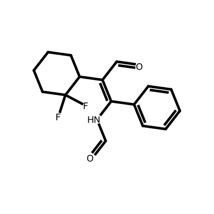 O=CNC(=C(C=O)C1CCCCC1(F)F)c1ccccc1